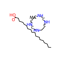 C1CNCCNCCCNCCNC1.CCCCCCCCCCCCCCCCCC(=O)O.[Mn]